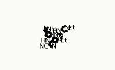 CCOc1cc2ncc(C#N)c(Nc3ccc4[nH]ncc4c3)c2cc1NC(=O)NC1CCN(CC)CC1